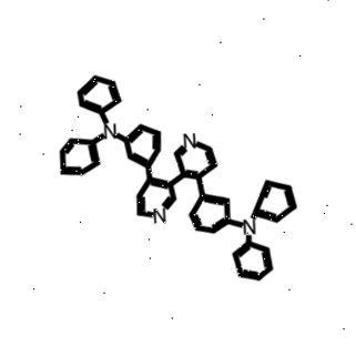 c1ccc(N(c2ccccc2)c2cccc(-c3ccncc3-c3cnccc3-c3cccc(N(c4ccccc4)c4ccccc4)c3)c2)cc1